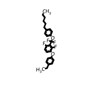 CCCCCCc1ccc(OC(F)(F)c2c(F)c[c]c(Oc3ccc(CC)cc3)c2F)cc1